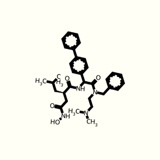 CC(C)C[C@H](CC(=O)NO)C(=O)NC(C(=O)N(CCN(C)C)Cc1ccccc1)c1ccc(-c2ccccc2)cc1